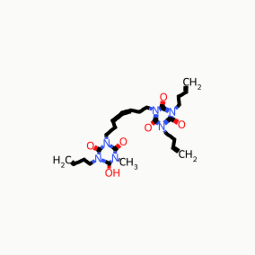 C=CCCN1C(=O)N(CCC=C=CCCn2c(=O)n(CCC=C)c(=O)n(CCC=C)c2=O)C(=O)N(C)C1O